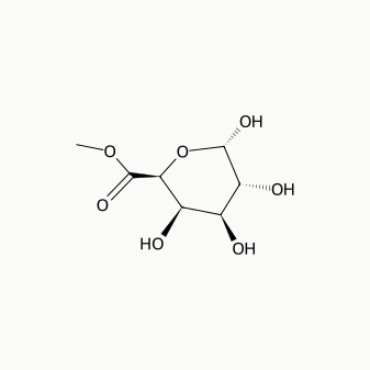 COC(=O)[C@H]1O[C@H](O)[C@H](O)[C@@H](O)[C@H]1O